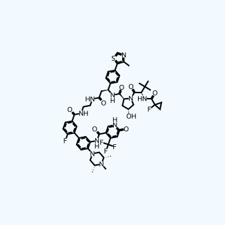 Cc1ncsc1-c1ccc([C@H](CC(=O)NCCNC(=O)c2ccc(F)c(-c3ccc(N4C[C@@H](C)N(C)[C@@H](C)C4)c(NC(=O)c4c[nH]c(=O)cc4C(F)(F)F)c3)c2)NC(=O)[C@@H]2C[C@@H](O)CN2C(=O)[C@@H](NC(=O)C2(F)CC2)C(C)(C)C)cc1